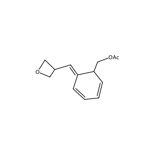 CC(=O)OCC1C=CC=CC1=CC1COC1